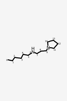 CCCCCCNCCCN1CCCC1